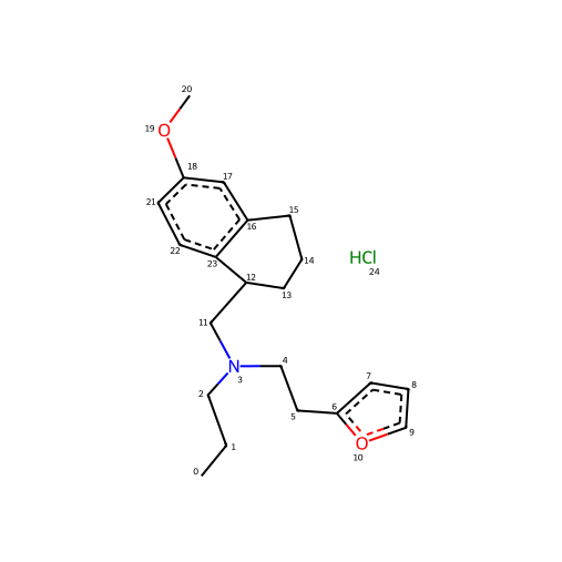 CCCN(CCc1ccco1)CC1CCCc2cc(OC)ccc21.Cl